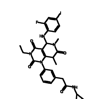 CCn1c(=O)c2c(n(-c3cccc(CC(=O)NC4CC4)c3)c1=O)C(C)C(=O)N(C)C2Nc1ccc(I)cc1F